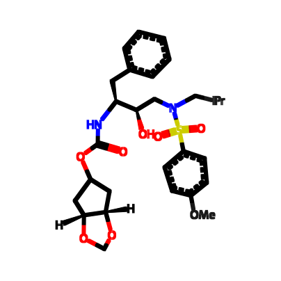 COc1ccc(S(=O)(=O)N(CC(C)C)C[C@@H](O)[C@H](Cc2ccccc2)NC(=O)OC2C[C@@H]3OCO[C@@H]3C2)cc1